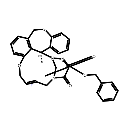 C[C@@]12c3ccccc3SCc3cccc(c31)OC/C=C/CN1CN2n2ccc(=O)c(OCc3ccccc3)c2C1=O